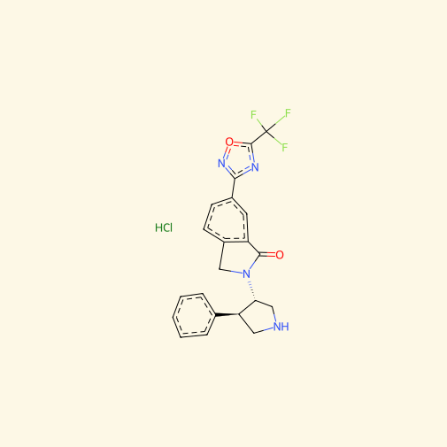 Cl.O=C1c2cc(-c3noc(C(F)(F)F)n3)ccc2CN1[C@@H]1CNC[C@H]1c1ccccc1